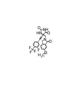 COc1ccc2c(c1)C(=O)N(C[C@@]1(C#Cc3ccc(C(F)(F)F)c(F)c3)NC(=O)NC1=O)C2